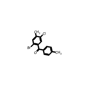 Cc1ccc(C(=O)c2cc(Cl)c(C)cc2Br)cc1